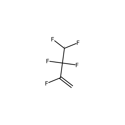 C=C(F)C(F)(F)[C](F)F